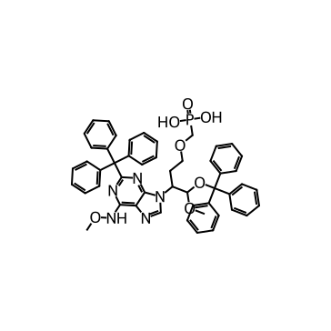 CONc1nc(C(c2ccccc2)(c2ccccc2)c2ccccc2)nc2c1ncn2C(CCOCP(=O)(O)O)C(OC)OC(c1ccccc1)(c1ccccc1)c1ccccc1